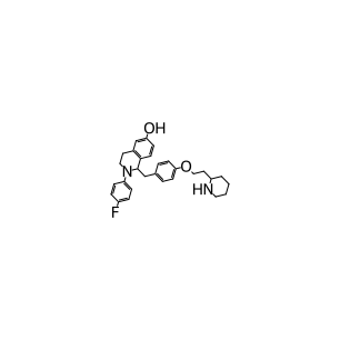 Oc1ccc2c(c1)CCN(c1ccc(F)cc1)C2Cc1ccc(OCCC2CCCCN2)cc1